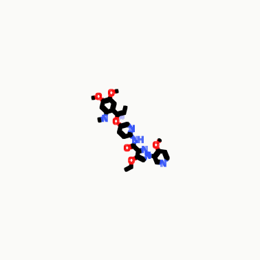 C=Nc1cc(OC)c(OC)cc1/C(=C\C)Oc1ccc(NC(=O)c2nn(-c3cnccc3OC)cc2OCC)nc1